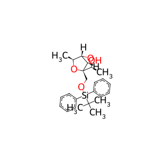 C[C@@H]1O[C@@]2(CO[Si](c3ccccc3)(c3ccccc3)C(C)(C)C)[C@H](C)O[C@@H]1[C@@H]2O